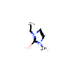 [BH3-]c1n(C)cc[n+]1CC